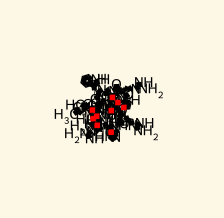 CC(C)C[C@H](NC(=O)[C@H](CCC(N)=O)NC(=O)[C@H](CCC(=O)O)NC(=O)[C@H](Cc1c[nH]c2ccccc12)NC(=O)CNC(=O)[C@H](CCCNC(=N)N)NC(=O)[C@@H]1CCCN1C(=O)[C@H](CCC(N)=O)NC(=O)[C@H](CCCNC(=N)N)NC(=O)[C@H](Cc1c[nH]cn1)NC(=O)[C@H](CCCNC(=N)N)NC(=O)[C@@H](N)[C@@H](C)O)C(=O)O